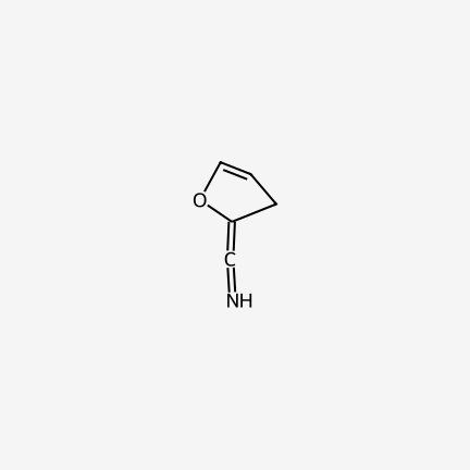 N=C=C1CC=CO1